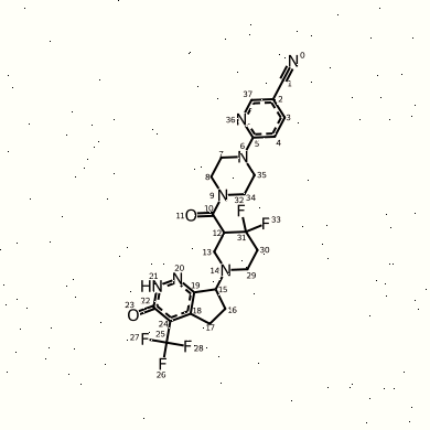 N#Cc1ccc(N2CCN(C(=O)C3CN(C4CCc5c4n[nH]c(=O)c5C(F)(F)F)CCC3(F)F)CC2)nc1